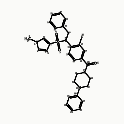 Cn1cnc(S(=O)(=O)N(Cc2ccccc2)c2ccc(C(=O)N3CCN(c4ccccc4)CC3)cc2F)c1